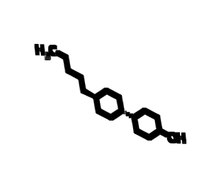 CCCCC[C@H]1CC[C@H](C2CCC(O)CC2)CC1